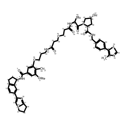 COc1cc(C(=O)N[C@@H]2CCc3ccc(-c4cn5c(n4)CCC5)cc32)cc(OCCCNC(=O)CCOCCC(=O)NC(C(=O)N2C[C@H](O)C[C@H]2C(=O)NCc2ccc(-c3scnc3C)cc2)C(C)(C)C)c1C